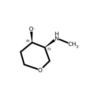 CN[C@H]1COCC[C@H]1[O]